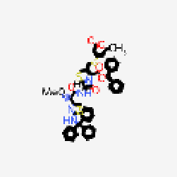 CO/N=C(\C(=O)N[C@@H]1C(=O)N2C(C(=O)OC(c3ccccc3)c3ccccc3)=C(CSc3cc(C)oc(=O)c3)CS[C@H]12)c1csc(NC(c2ccccc2)(c2ccccc2)c2ccccc2)n1